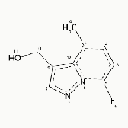 Cc1ccc(F)n2ncc(CO)c12